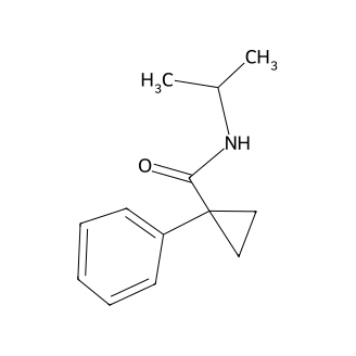 CC(C)NC(=O)C1(c2ccccc2)CC1